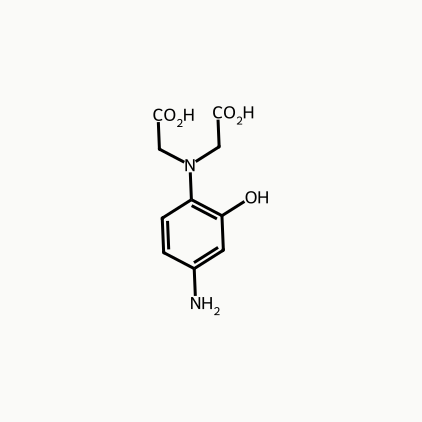 Nc1ccc(N(CC(=O)O)CC(=O)O)c(O)c1